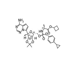 C[C@H](NP(=O)(OC[C@H]1O[C@@](C)(c2ccc3c(N)ncnn23)[C@@H]2OC(C)(C)O[C@@H]21)Oc1ccc(C2CC2)cc1)C(=O)OC1CCC1